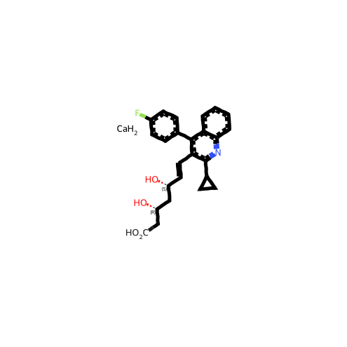 O=C(O)C[C@H](O)C[C@H](O)C=Cc1c(C2CC2)nc2ccccc2c1-c1ccc(F)cc1.[CaH2]